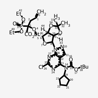 C=CCC(OC[C@H]1OC(n2ncc3c(N(C(=O)OC(C)(C)C)C4CCCC4)nc(Cl)nc32)[C@@H]2OC(C)(C)O[C@H]12)(C(=O)OCC)P(=O)(OCC)OCC